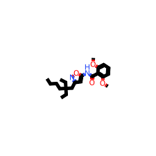 CCCCC(CC)(CC)Cc1cc(NC(=O)c2c(OC)cccc2OC)on1